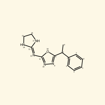 CC(c1c[c]ccc1)c1nnc(N=C2NCCN2)o1